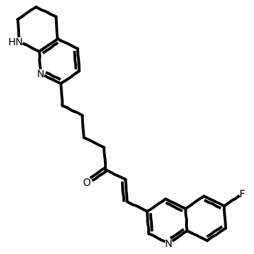 O=C(C=Cc1cnc2ccc(F)cc2c1)CCCCc1ccc2c(n1)NCCC2